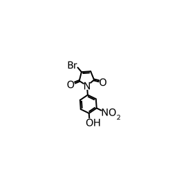 O=C1C=C(Br)C(=O)N1c1ccc(O)c([N+](=O)[O-])c1